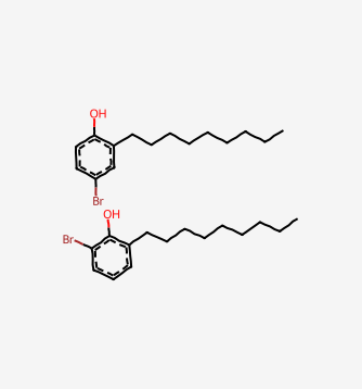 CCCCCCCCCc1cc(Br)ccc1O.CCCCCCCCCc1cccc(Br)c1O